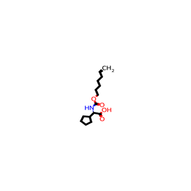 C=CCCCCCOC(=O)N[C@H](C(=O)O)C1CCCC1